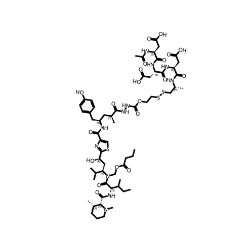 CCCC(=O)OCN(C(=O)[C@@H](NC(=O)[C@H]1[C@@H](C)CCCN1C)C(C)CC)[C@H](C[C@@H](O)c1nc(C(=O)N[C@@H](Cc2ccc(O)cc2)C[C@H](C)C(=O)NNC(=O)OCCSSC[C@@H](C)NC(=O)[C@H](CC(=O)O)NC(=O)[C@H](CC(=O)O)NC(=O)[C@H](CC(=O)O)NC(C)=O)cs1)C(C)C